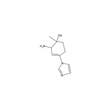 CC1(O)CCC(n2ccnc2)=CC1N